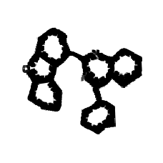 c1ccc(-c2nc(-c3cccc4oc5ccccc5c34)nc3ccccc23)cc1